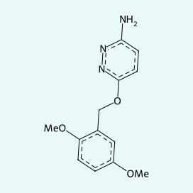 COc1ccc(OC)c(COc2ccc(N)nn2)c1